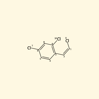 Cl/C=C\c1ccc(Cl)cc1Cl